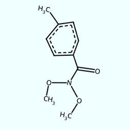 CON(OC)C(=O)c1ccc(C)cc1